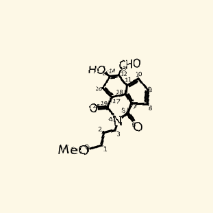 COCCCN1C(=O)c2cccc3c(C=O)c(O)cc(c23)C1=O